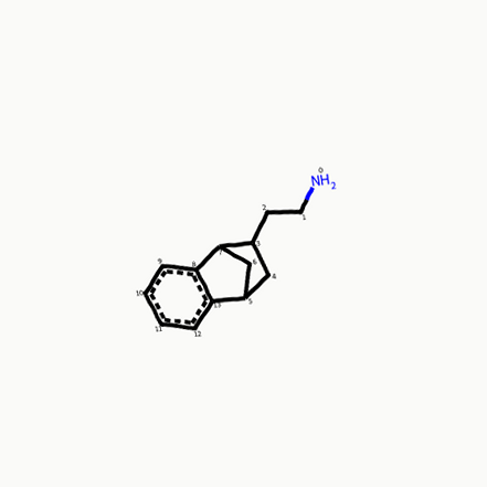 NCCC1CC2CC1c1ccccc12